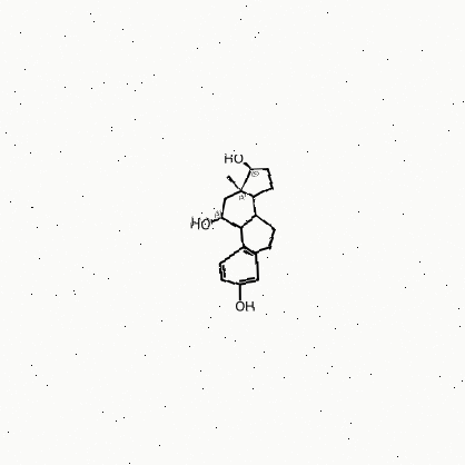 C[C@]12C[C@H](O)C3c4ccc(O)cc4CCC3C1CC[C@@H]2O